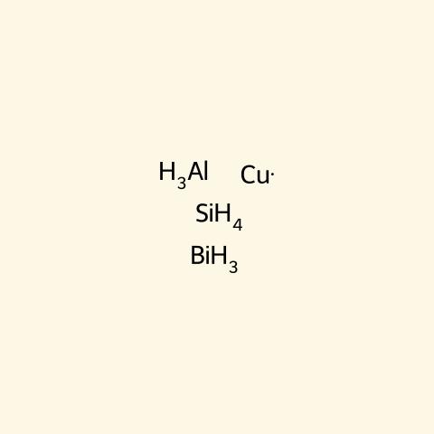 [AlH3].[BiH3].[Cu].[SiH4]